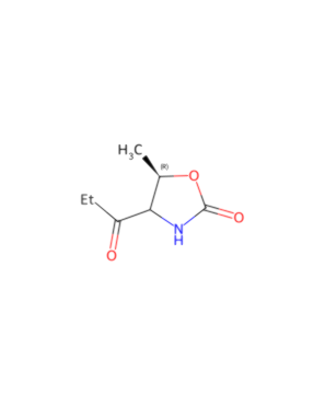 CCC(=O)C1NC(=O)O[C@@H]1C